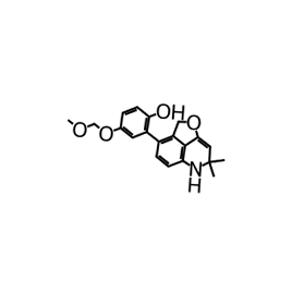 COCOc1ccc(O)c(-c2ccc3c4c2COC4=CC(C)(C)N3)c1